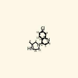 CC1CN(c2ccnc3cc(Cl)ccc23)CCN1